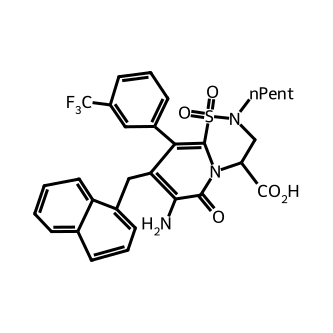 CCCCCN1CC(C(=O)O)n2c(c(-c3cccc(C(F)(F)F)c3)c(Cc3cccc4ccccc34)c(N)c2=O)S1(=O)=O